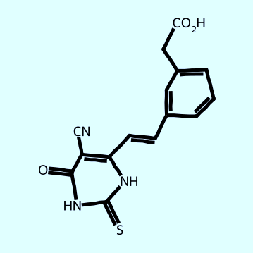 N#Cc1c(/C=C/c2cccc(CC(=O)O)c2)[nH]c(=S)[nH]c1=O